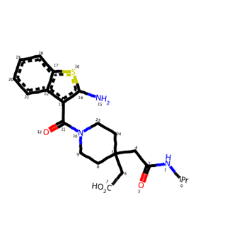 CC(C)NC(=O)CC1(CC(=O)O)CCN(C(=O)c2c(N)sc3ccccc23)CC1